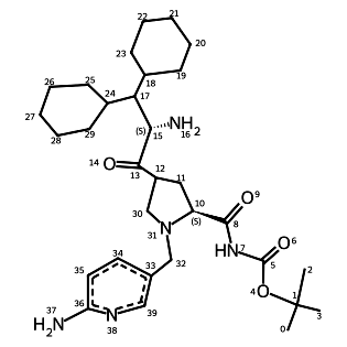 CC(C)(C)OC(=O)NC(=O)[C@@H]1CC(C(=O)[C@@H](N)C(C2CCCCC2)C2CCCCC2)CN1Cc1ccc(N)nc1